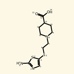 Nc1ncc(SCCN2CCC(C(=O)O)CC2)s1